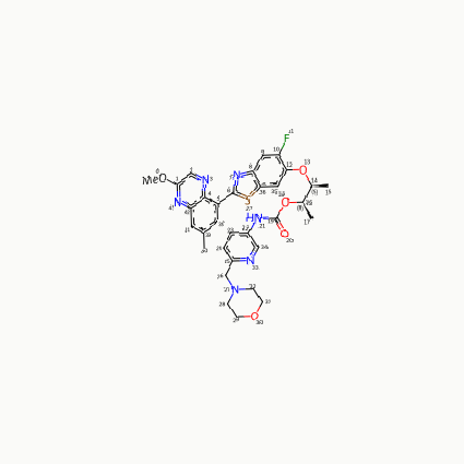 COc1cnc2c(-c3nc4cc(F)c(O[C@@H](C)[C@@H](C)OC(=O)Nc5ccc(CN6CCOCC6)nc5)cc4s3)cc(C)cc2n1